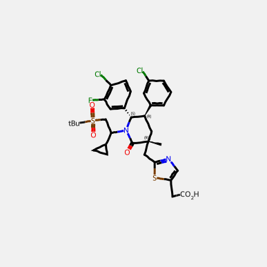 CC(C)(C)S(=O)(=O)CC(C1CC1)N1C(=O)[C@@](C)(Cc2ncc(CC(=O)O)s2)C[C@H](c2cccc(Cl)c2)[C@H]1c1ccc(Cl)c(F)c1